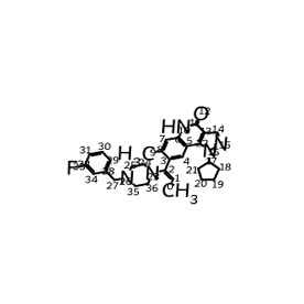 CC=C(c1cc2c(cc1C)[nH]c(=O)c1cnn(C3CCCC3)c12)N1CCN(Cc2cccc(F)c2)CC1